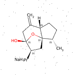 C=C1C[C@]2(O)O[C@@]3(C[C@H]2C(C)C)[C@@H](C)CC[C@@H]13.[NaH]